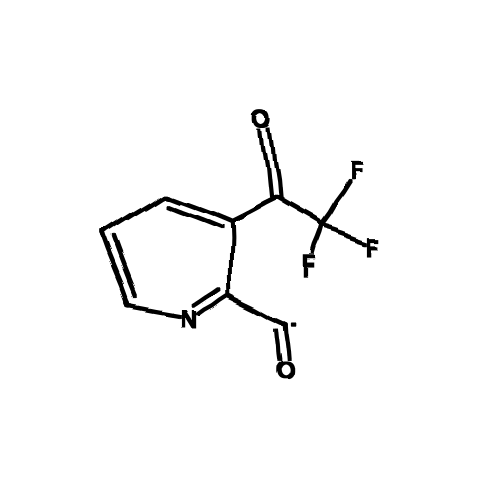 O=[C]c1ncccc1C(=O)C(F)(F)F